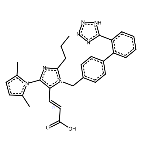 CCCc1nc(-n2c(C)ccc2C)c(/C=C/C(=O)O)n1Cc1ccc(-c2ccccc2-c2nnn[nH]2)cc1